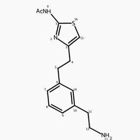 CC(=O)Nc1nc(CCc2cccc(CCN)c2)cs1